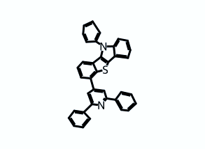 c1ccc(-c2cc(-c3cccc4c3sc3c5ccccc5n(-c5ccccc5)c43)cc(-c3ccccc3)n2)cc1